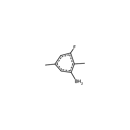 Bc1cc(C)cc(F)c1C